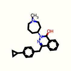 CN1CCC[C@H](N2N=C(Cc3ccc(C4CC4)cc3)c3ccccc3C2O)CC1